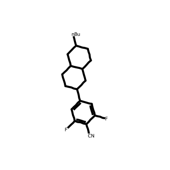 CCCCC1CCC2CC(c3cc(F)c(C#N)c(F)c3)CCC2C1